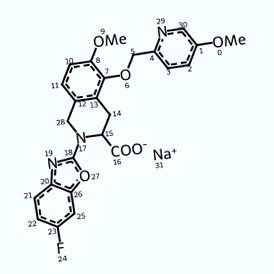 COc1ccc(COc2c(OC)ccc3c2CC(C(=O)[O-])N(c2nc4ccc(F)cc4o2)C3)nc1.[Na+]